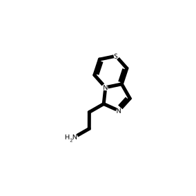 NCCC1N=CC2=CSC=CN21